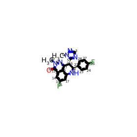 Cn1ncnc1[C@H]1c2nn(C)c(=O)c3cc(F)cc(c23)N[C@@H]1c1ccc(F)cc1